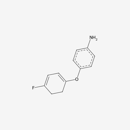 Nc1ccc(OC2=CC=C(F)CC2)cc1